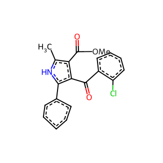 COC(=O)c1c(C)[nH]c(-c2ccccc2)c1C(=O)c1ccccc1Cl